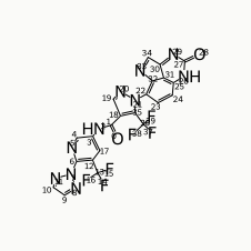 O=C(Nc1cnc(-n2nccn2)c(C(F)(F)F)c1)c1cnn(-c2ccc3[nH]c(=O)nc4c3c2N=C4)c1C(F)(F)F